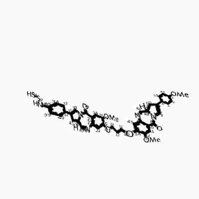 COc1ccc(C2=CN3C(=O)c4cc(OC)c(OCCCOc5cc6c(cc5OC)C(=O)N5C=C(c7ccc(NSS)cc7)C[C@H]5C=N6)cc4N=C[C@@H]3C2)cc1